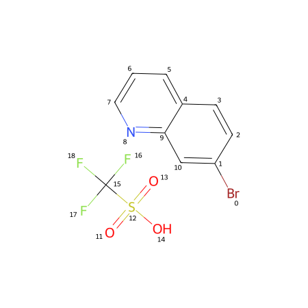 Brc1ccc2cccnc2c1.O=S(=O)(O)C(F)(F)F